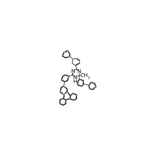 CC1(c2cccc(-c3ccccc3)c2)N=C(C2=CC=CC(c3ccccc3)C2)N=C(c2cccc(-c3ccc4c5ccccc5c5ccccc5c4c3)c2)N1